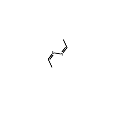 C/C=N\N=C/C